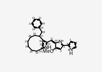 COC1=CC(c2ccc[nH]2)=NC1=Cc1[nH]c2cc1C(Cc1ccccc1)CCCCCC2